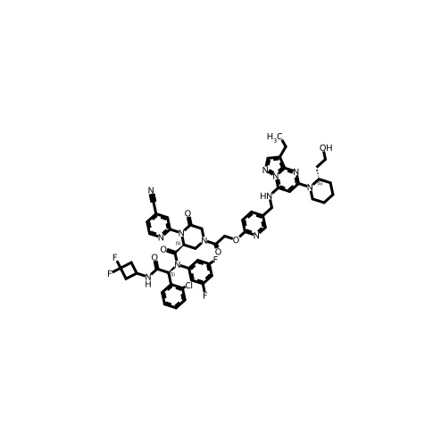 CCc1cnn2c(NCc3ccc(OCC(=O)N4CC(=O)N(c5cc(C#N)ccn5)[C@H](C(=O)N(c5cc(F)cc(F)c5)[C@H](C(=O)NC5CC(F)(F)C5)c5ccccc5Cl)C4)nc3)cc(N3CCCC[C@H]3CCO)nc12